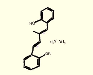 CC(/C=C/c1ccccc1O)=C\c1ccccc1O.N.N